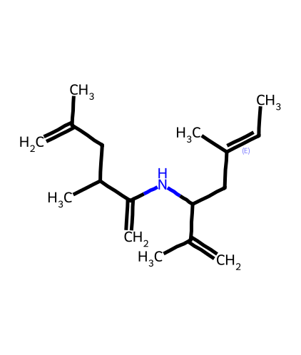 C=C(C)CC(C)C(=C)NC(C/C(C)=C/C)C(=C)C